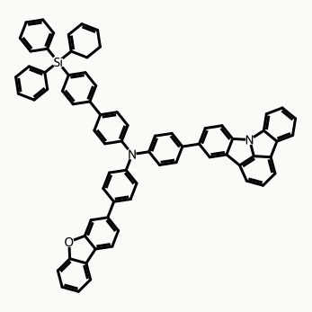 C1=CCCC([Si](c2ccccc2)(c2ccccc2)c2ccc(-c3ccc(N(c4ccc(-c5ccc6c(c5)oc5ccccc56)cc4)c4ccc(-c5ccc6c(c5)c5cccc7c8ccccc8n6c75)cc4)cc3)cc2)=C1